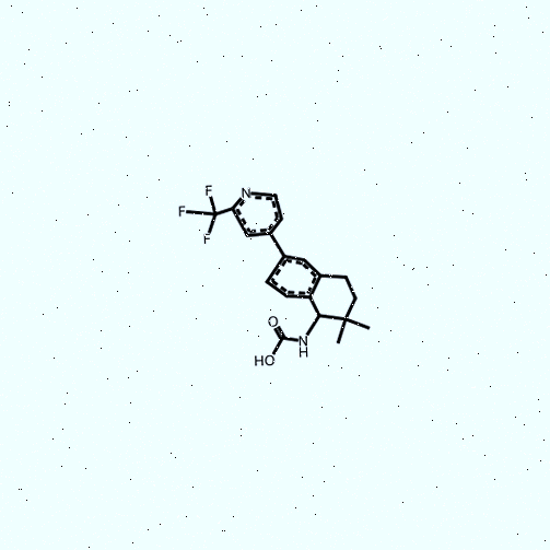 CC1(C)CCc2cc(-c3ccnc(C(F)(F)F)c3)ccc2C1NC(=O)O